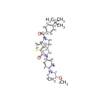 CCN(CCOC)c1ccc(N(CC2C3CN(C(=O)c4ccc(C(C)(C)C)cc4)CC32)C(=O)c2cccs2)cn1